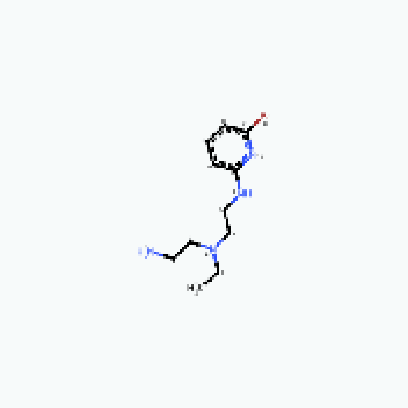 CCN(CCN)CCNc1cccc(Br)n1